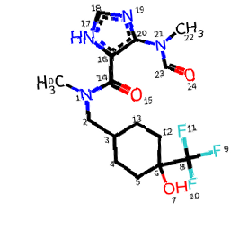 CN(CC1CCC(O)(C(F)(F)F)CC1)C(=O)c1[nH]cnc1N(C)C=O